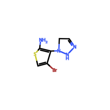 Nc1scc(Br)c1N1CC=NN1